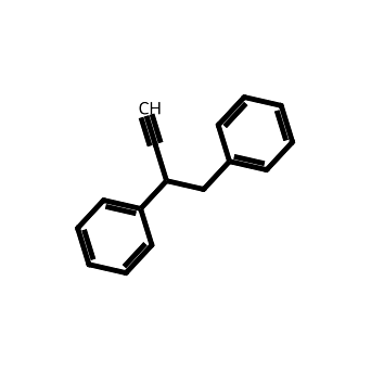 C#CC(Cc1ccccc1)c1ccccc1